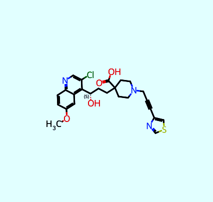 COc1ccc2ncc(Cl)c([C@@H](O)CCC3(C(=O)O)CCN(CC#Cc4cscn4)CC3)c2c1